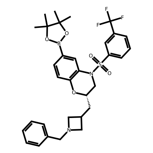 CC1(C)OB(c2ccc3c(c2)N(S(=O)(=O)c2cccc(C(F)(F)F)c2)C[C@H](CC2CN(Cc4ccccc4)C2)O3)OC1(C)C